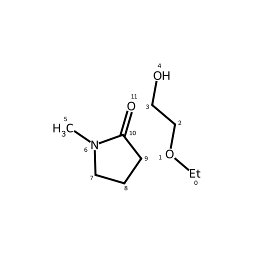 CCOCCO.CN1CCCC1=O